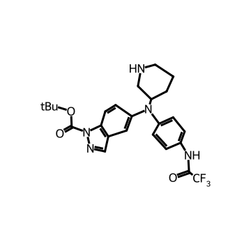 CC(C)(C)OC(=O)n1ncc2cc(N(c3ccc(NC(=O)C(F)(F)F)cc3)C3CCCNC3)ccc21